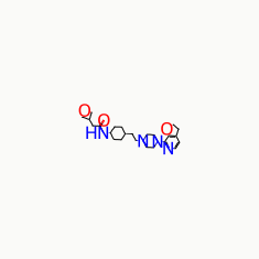 O=C(CC1COC1)N[C@H]1CC[C@H](CCN2CCN(c3nccc4c3OCC4)CC2)CC1